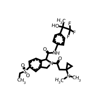 CCS(=O)(=O)c1ccc2c(c1)CN(C(=O)CC1(N(C)C)CC1)C2C(=O)Nc1ccc(C(C)(O)C(F)(F)F)cc1